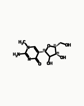 Cn1cc([C@@H]2O[C@H](CO)[C@H](O)C2O)c(=O)nc1N